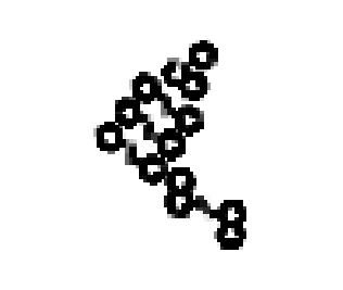 c1ccc(N=Nc2ccccc2)cc1.c1ccc(N=Nc2ccccc2)cc1.c1ccc(N=Nc2ccccc2)cc1.c1ccc2c(N=Nc3cccc4ccccc34)cccc2c1.c1ccc2ccccc2c1.c1ccccc1